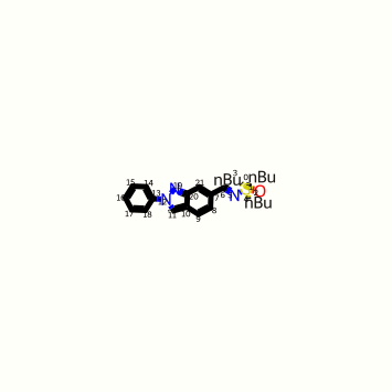 CCCCS(=O)(CCCC)(CCCC)N=Cc1ccc2[c]n(-c3ccccc3)nc2c1